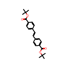 CC(C)(C)OC(=O)c1ccc(C=Cc2ccc(C(=O)OC(C)(C)C)cc2)cc1